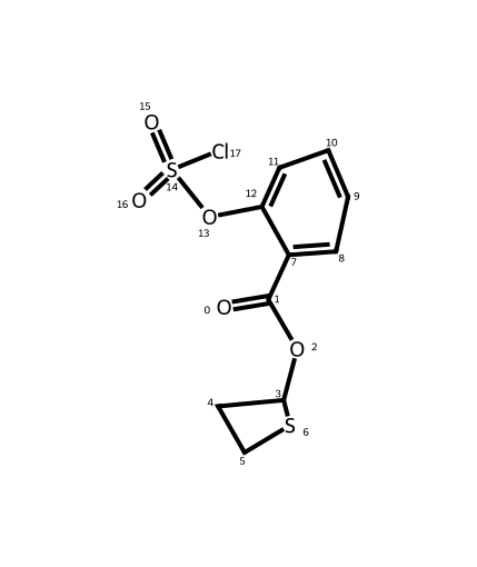 O=C(OC1CCS1)c1ccccc1OS(=O)(=O)Cl